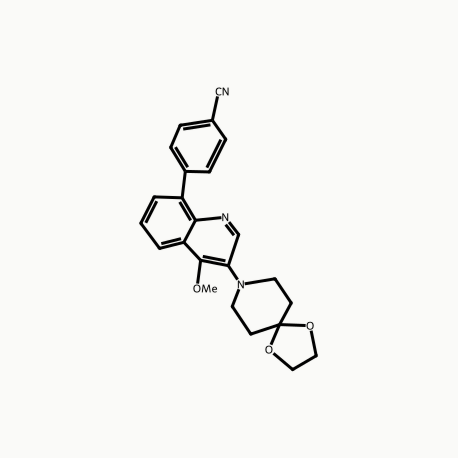 COc1c(N2CCC3(CC2)OCCO3)cnc2c(-c3ccc(C#N)cc3)cccc12